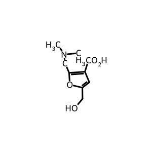 CN(C)Cc1oc(CO)cc1C(=O)O